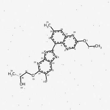 CCOc1cnc2c(-c3nc4cc(F)c(OC[C@@H](C)O)nc4s3)cc(C)cc2n1